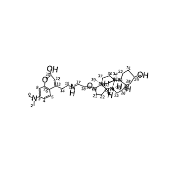 CN(C)c1ccc2c(c1)OC(O)C=C2CCNCCO[C@H]1CC[C@H]2[C@@H]3CC[C@H]4CC(O)CC[C@]4(C)[C@H]3CC[C@]12C